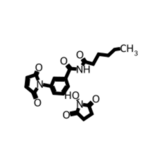 CCCCCC(=O)NC(=O)c1cccc(N2C(=O)C=CC2=O)c1.O=C1CCC(=O)N1O